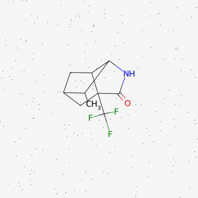 CC1C2CC3C1NC(=O)C3(C(F)(F)F)C2